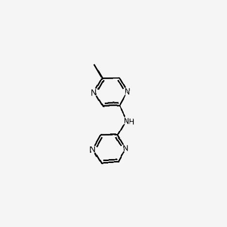 Cc1cnc(Nc2cnccn2)cn1